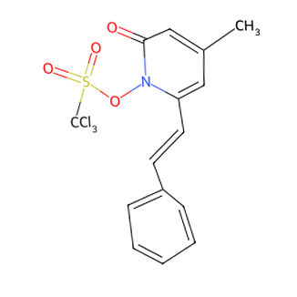 Cc1cc(C=Cc2ccccc2)n(OS(=O)(=O)C(Cl)(Cl)Cl)c(=O)c1